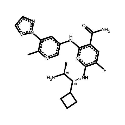 Cc1ncc(Nc2nc(N[C@H](C3CCC3)[C@H](C)N)c(F)cc2C(N)=O)cc1-n1nccn1